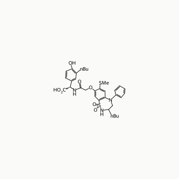 CCCCc1cc([C@@H](NC(=O)COc2cc3c(cc2SC)N(c2ccccc2)CC(CCCC)NS3(=O)=O)C(=O)O)ccc1O